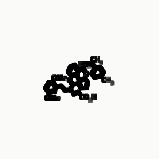 COc1ccc(OC)c(CCN(CCC(=O)O)C(=O)c2ccccc2-c2ccccc2C(=O)N[C@H](C)c2ccc(C)cc2)c1